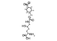 NC(CCC(S)CNC(=O)OCc1ccc([N+](=O)[O-])cc1)C(=O)O